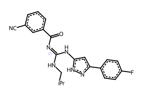 CC(C)CN/C(=N/C(=O)c1cccc(C#N)c1)Nc1cc(-c2ccc(F)cc2)n[nH]1